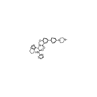 CN1CCN(c2ccc(-c3ccc4c(c3)C(=O)N(C(C(=O)Nc3nccs3)c3ncn5c3CCC5)CO4)cc2)CC1